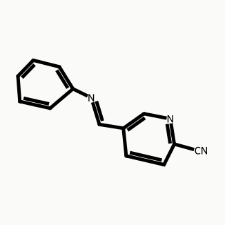 N#Cc1ccc(/C=N/c2ccccc2)cn1